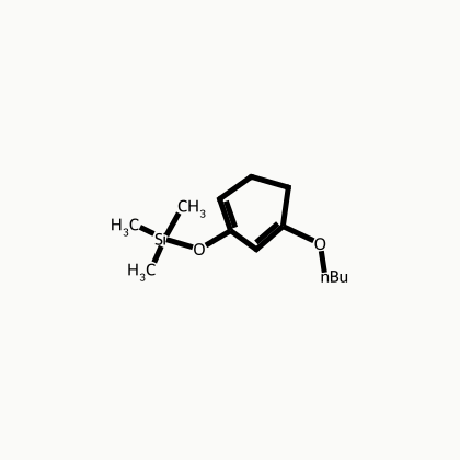 CCCCOC1=CC(O[Si](C)(C)C)=CCC1